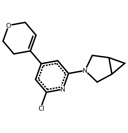 Clc1cc(C2=CCOCC2)cc(N2CC3CC3C2)n1